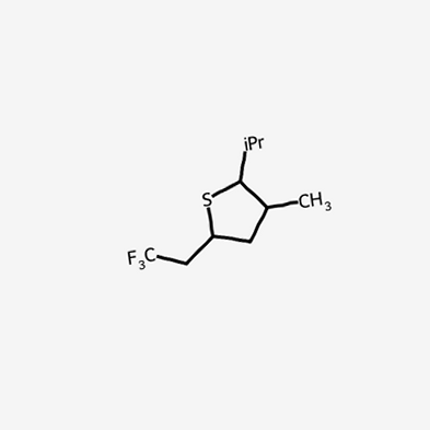 CC(C)C1SC(CC(F)(F)F)CC1C